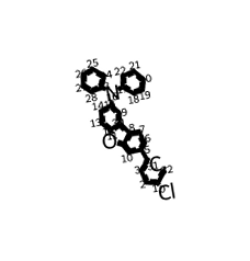 Clc1ccc(-c2ccc3c(c2)oc2ccc(N(c4ccccc4)c4ccccc4)cc23)cc1